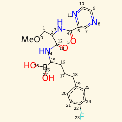 COCC(NC(=O)c1cnccn1)C(=O)NC(CCCc1ccc(F)cc1)B(O)O